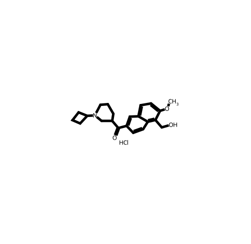 COc1ccc2cc(C(=O)C3CCCN(C4CCC4)C3)ccc2c1CO.Cl